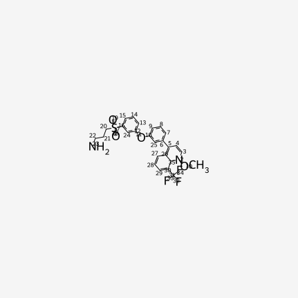 CON1C=CC(c2cccc(Oc3cccc(S(=O)(=O)CCCN)c3)c2)=C2C=CC=C(C(F)(F)F)C21